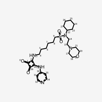 O=c1c(NCCCCCCS(=O)(=O)N(CCN2CCOCC2)C2CCCCC2)c(Nc2ccncc2)c1=O